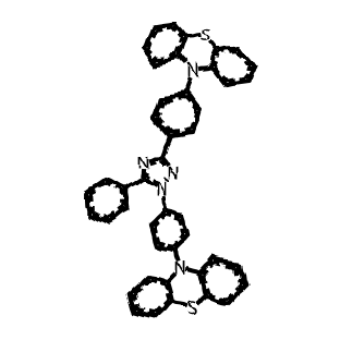 c1ccc(-c2nc(-c3ccc(N4c5ccccc5Sc5ccccc54)cc3)nn2-c2ccc(N3c4ccccc4Sc4ccccc43)cc2)cc1